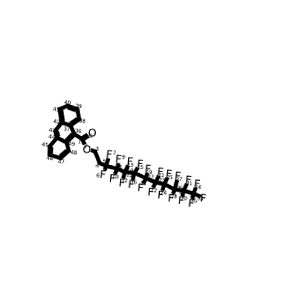 O=C(OCCC(F)(F)C(F)(F)C(F)(F)C(F)(F)C(F)(F)C(F)(F)C(F)(F)C(F)(F)C(F)(F)C(F)(F)F)c1c2ccccc2cc2ccccc12